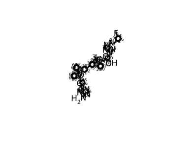 CN(Cc1cccc(F)c1)c1ncnc2c1ncn2[C@H]1C[C@H](O)[C@@H](CO[Si](c2ccccc2)(c2ccc(C3=CCC([Si](OC[C@@H]4CC[C@H](n5cnc6c(N)ncnc65)O4)(c4ccccc4)c4ccccc4)C=C3)cc2)C(C)(C)C)O1